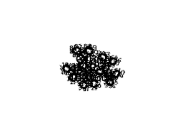 CC(C)(C)[Si](Oc1cc(O[Si](c2ccccc2)(c2ccccc2)C(C)(C)C)c2c(=O)c(O[Si](c3ccccc3)(c3ccccc3)C(C)(C)C)c(-c3ccc(O[Si](c4ccccc4)(c4ccccc4)C(C)(C)C)c(O[Si](c4ccccc4)(c4ccccc4)C(C)(C)C)c3)oc2c1)(c1ccccc1)c1ccccc1